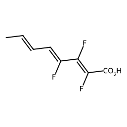 CC=CC=C(F)C(F)=C(F)C(=O)O